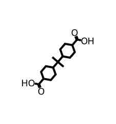 CC(C)(C1CCC(C(=O)O)CC1)C1CCC(C(=O)O)CC1